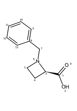 O=C(O)[C@H]1CCN1Cc1ccccc1